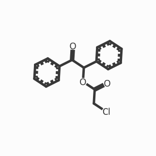 O=C(CCl)OC(C(=O)c1ccccc1)c1ccccc1